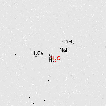 O.[CaH2].[CaH2].[NaH].[SiH4]